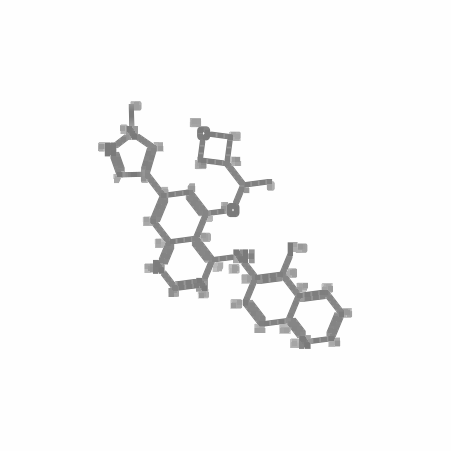 CC(Oc1cc(-c2cnn(C)c2)cc2ncnc(Nc3ccc4ncccc4c3F)c12)C1COC1